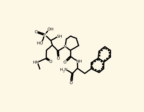 CNC(=O)CC(C(=O)N1CCCCC1C(=O)NC(Cc1ccc2ccccc2c1)C(N)=O)C(S)P(=O)(O)O